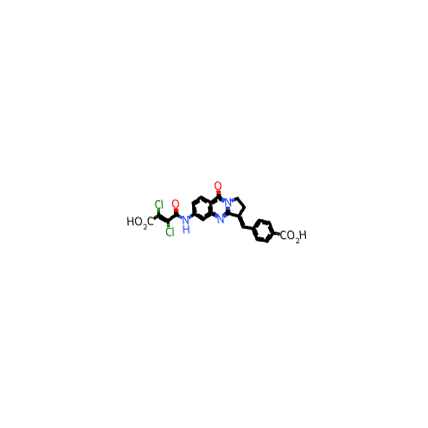 O=C(O)C(Cl)=C(Cl)C(=O)Nc1ccc2c(=O)n3c(nc2c1)C(=Cc1ccc(C(=O)O)cc1)CC3